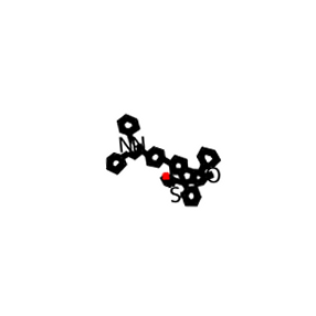 c1ccc(-c2cc(-c3ccc(-c4ccc5c(c4)C4(c6ccccc6Sc6ccccc64)c4ccc6oc7ccccc7c6c4-5)cc3)nc(-c3ccccc3)n2)cc1